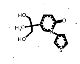 CC(CO)(CO)c1ccc(=O)n(-c2ccsc2)c1